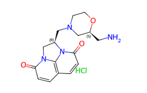 Cl.NC[C@H]1CN(C[C@@H]2Cn3c(=O)ccc4ccc(=O)n2c43)CCO1